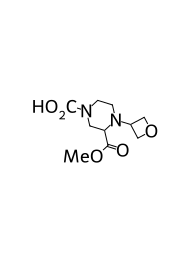 COC(=O)C1CN(C(=O)O)CCN1C1COC1